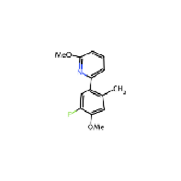 COc1cccc(-c2cc(F)c(OC)cc2C)n1